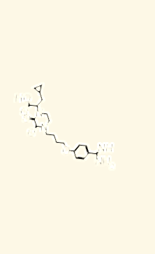 N=C(N)c1ccc(OCCCCN2CCN(C(CC3CC3)C(=O)O)C(=O)C2=O)cc1